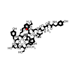 C[C@@H](O)[C@H](NC(=O)CNC(=O)[C@H](Cc1nn[nH]n1)NC(=O)C(C)(C)NC(=O)[C@@H](N)Cc1ccc(O)cc1)C(=O)N[C@@](C)(Cc1ccccc1F)C(=O)N[C@H](C(=O)N[C@@H](CO)C(=O)N[C@@H](CC(=O)O)C(=O)N[C@@H](Cc1ccc(O)cc1)C(=O)N[C@@H](CCCc1ccc(CN)cc1)C(N)=O)[C@@H](C)O